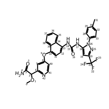 COC(C(N)=O)c1cc(Oc2ccc(NC(=O)Nc3cc(C(F)(F)F)nn3-c3ccc(C)cc3)c3ccccc23)ccn1